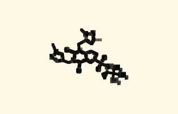 BC(B)(B)C1(NS(=O)(=O)c2ccc3c(c2)c(=O)n(Cc2cnn(C)c2)c(=O)n3Cc2cc(C)nn2C)CC1